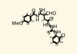 COc1ccc(C(=O)NC(S)C(C=O)CC(=O)NNC(=S)Nc2ccccc2Cl)cc1